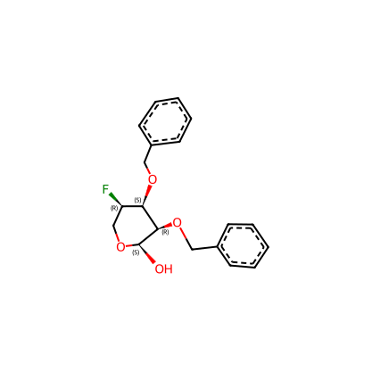 O[C@H]1OC[C@@H](F)[C@@H](OCc2ccccc2)[C@H]1OCc1ccccc1